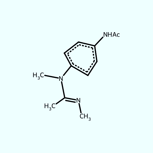 CN=C(C)N(C)c1ccc(NC(C)=O)cc1